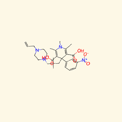 C=CCN1CCN(CC(C)(C)CC2(c3cccc([N+](=O)[O-])c3)C(C(=O)O)=C(C)N(C)C(C)=C2C(=O)O)CC1